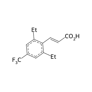 CCc1cc(C(F)(F)F)cc(CC)c1C=CC(=O)O